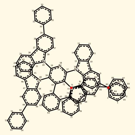 c1ccc(-c2ccc3c(c2)c2ccccc2n3-c2nc(-n3c4ccccc4c4cc(-c5ccccc5)ccc43)c(-n3c4ccccc4c4cc(-c5ccccc5)ccc43)c(-c3ccccc3-c3ccccn3)c2-n2c3ccccc3c3cc(-c4ccccc4)ccc32)cc1